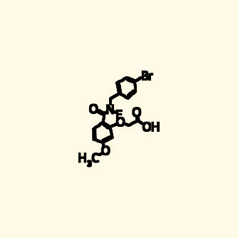 COc1ccc(C(=O)N(F)Cc2ccc(Br)cc2)c(OCC(=O)O)c1